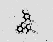 CCc1ccc(C)c(OCc2ccccc2C(CO)C(=O)NC)c1